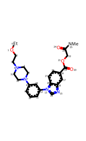 CCOCCN1CCN(c2cccc(-n3cnc4cc(C(=O)OCC(=O)NC)ccc43)c2)CC1